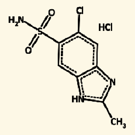 Cc1nc2cc(Cl)c(S(N)(=O)=O)cc2[nH]1.Cl